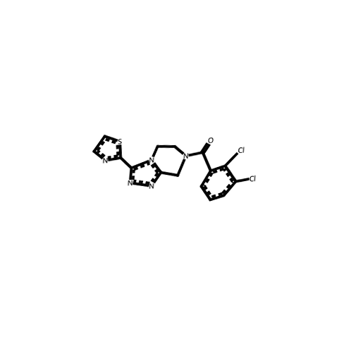 O=C(c1cccc(Cl)c1Cl)N1CCn2c(nnc2-c2nccs2)C1